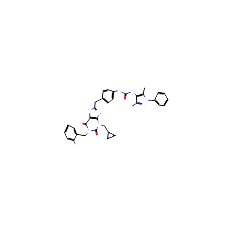 Cc1nn(-c2ccccc2)c(C)c1NC(=O)Nc1ccc(Cc2nc3c([nH]2)c(=O)n(Cc2ccccc2F)c(=O)n3CC2CC2)cc1